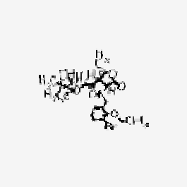 CCOc1c(Br)cccc1CN1O[C@@H](CO[Si](C)(C)C(C)(C)C)[C@H]2[C@H](C)OC(=O)[C@H]21